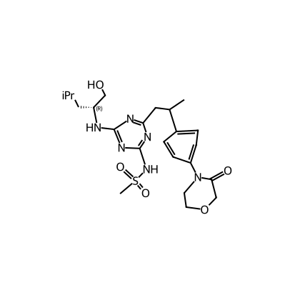 CC(C)C[C@H](CO)Nc1nc(CC(C)c2ccc(N3CCOCC3=O)cc2)nc(NS(C)(=O)=O)n1